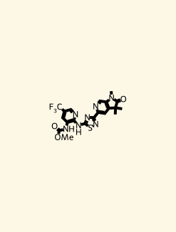 COC(=O)Nc1cc(C(F)(F)F)cnc1Nc1nc(-c2cc3c(cn2)N(C)C(=O)C3(C)C)ns1